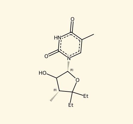 CCC1(CC)O[C@@H](n2cc(C)c(=O)[nH]c2=O)C(O)[C@H]1C